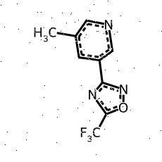 Cc1cncc(-c2noc(C(F)(F)F)n2)c1